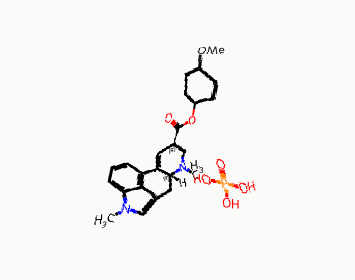 COC1CCC(OC(=O)[C@@H]2C=C3c4cccc5c4c(cn5C)C[C@H]3N(C)C2)CC1.O=P(O)(O)O